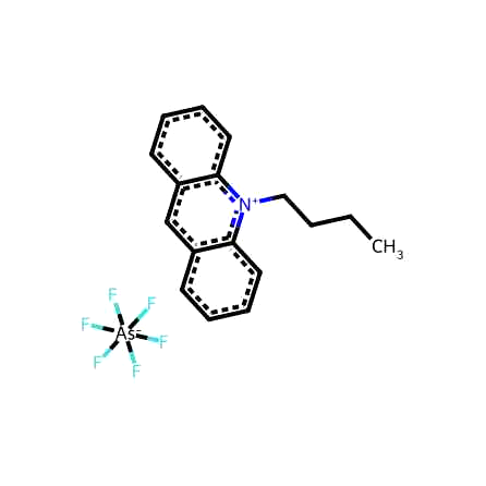 CCCC[n+]1c2ccccc2cc2ccccc21.F[As-](F)(F)(F)(F)F